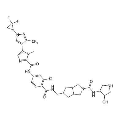 Cn1c(-c2cn(C3CC3(F)F)nc2C(F)(F)F)cnc1C(=O)Nc1ccc(C(=O)NCC2CC3CN(C(=O)NC4CNCC4O)CC3C2)c(Cl)c1